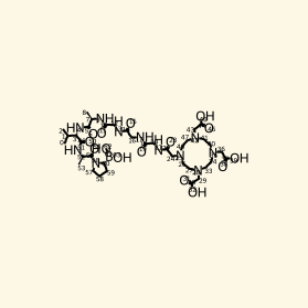 CC(C)[C@H](NC(=O)[C@@H](C)NC(=O)CNC(=O)CNC(=O)CNC(=O)CN1CCN(CC(=O)O)CCN(CC(=O)O)CCN(CC(=O)O)CC1)C(=O)N[C@H](C)C(=O)N1CCC[C@H]1B(O)O